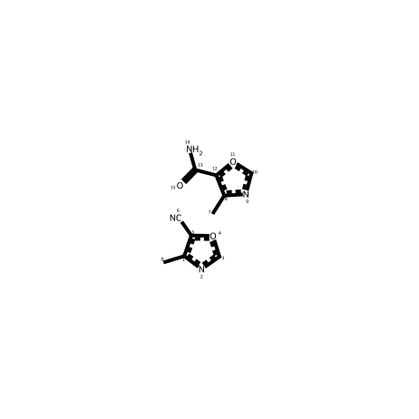 Cc1ncoc1C#N.Cc1ncoc1C(N)=O